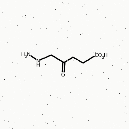 NNCC(=O)CCC(=O)O